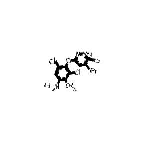 Cc1c(N)cc(Cl)c(Oc2cc(C(C)C)c(=O)[nH]n2)c1Cl